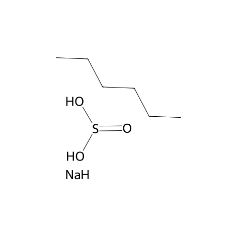 CCCCCC.O=S(O)O.[NaH]